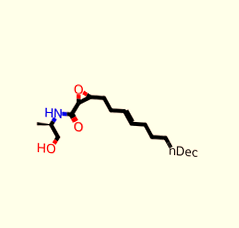 CCCCCCCCCCCCC/C=C/CCC1OC1C(=O)N[C@H](C)CO